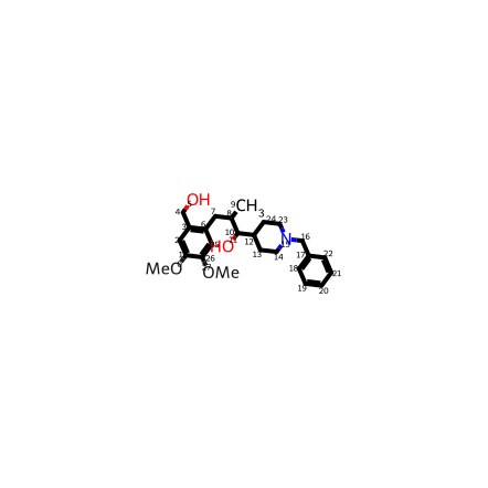 COc1cc(CO)c(CC(C)C(O)C2CCN(Cc3ccccc3)CC2)cc1OC